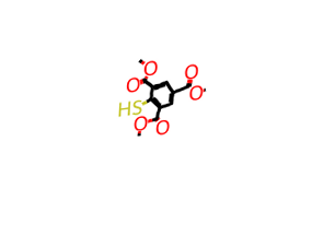 COC(=O)c1cc(C(=O)OC)c(S)c(C(=O)OC)c1